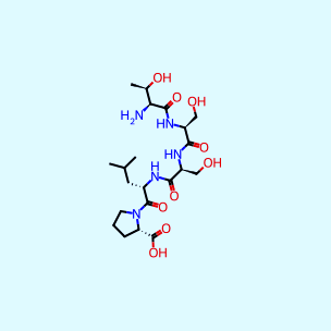 CC(C)C[C@H](NC(=O)[C@H](CO)NC(=O)[C@H](CO)NC(=O)[C@@H](N)[C@@H](C)O)C(=O)N1CCC[C@H]1C(=O)O